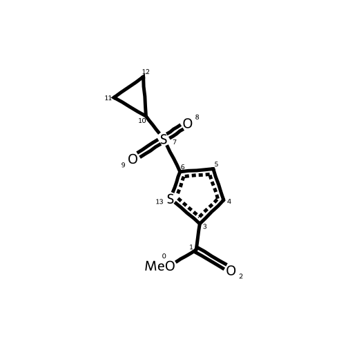 COC(=O)c1ccc(S(=O)(=O)C2CC2)s1